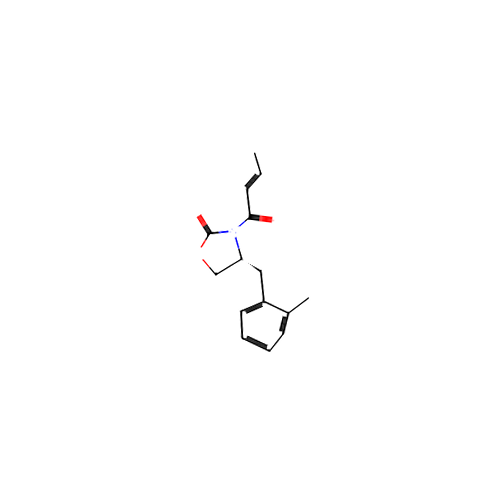 CC=CC(=O)N1C(=O)OC[C@@H]1Cc1ccccc1C